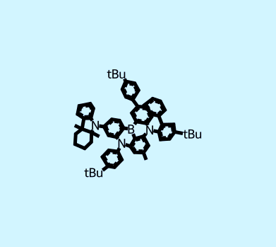 Cc1cc2c3c(c1)N(c1ccc(C(C)(C)C)cc1-c1ccccc1)c1ccc(-c4ccc(C(C)(C)C)cc4)cc1B3c1ccc(N3c4ccccc4C4(C)CCCCC34C)cc1N2c1ccc(C(C)(C)C)cc1